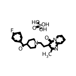 Cc1nc2ccccn2c(=O)c1CCN1CCC(C(=O)c2ccc(F)cc2)CC1.O=P(O)(O)O